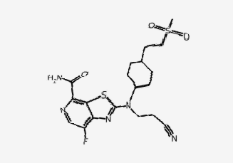 CS(=O)(=O)CCC1CCC(N(CCC#N)c2nc3c(F)cnc(C(N)=O)c3s2)CC1